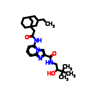 CCC1CC2CCCC(CC(=O)Nc3cccc4nc(C(=O)NCC(O)C(C)(C)C)cn34)(C1)C2